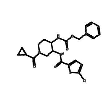 O=C(NC1CCN(C(=O)C2CC2)CC1NC(=O)c1ccc(Cl)s1)OCc1ccccc1